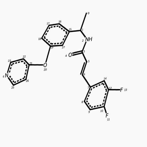 CC(NC(=O)C=Cc1ccc(F)c(F)c1)c1cccc(Oc2ccncc2)c1